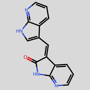 O=C1Nc2ncccc2C1=Cc1c[nH]c2ncccc12